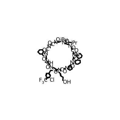 CC[C@H](C)[C@@H]1NC(=O)[C@H](CC(C)C)N(C)C(=O)C[C@@H](C(=O)N2CCCCC2)N(C)C(=O)[C@H](C2CCCCC2)N(C)C(=O)C2(CCCC2)NC(=O)CN(C/C=C/CCO)C(=O)[C@H](CCc2ccc(C(F)(F)F)c(Cl)c2)NC(=O)CN(C)C(=O)[C@H](CC2CCCCC2)N(C)C(=O)CN(C)C(=O)CN(C)C1=O